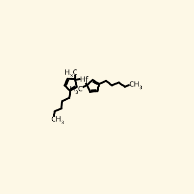 CCCCCC1=C[C](C)([Hf][C]2(C)C=CC(CCCCC)=C2)C=C1